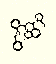 O=C1CCCN1C1CC(c2ccccc2OCc2ccccc2)N2CCc3cccc1c32